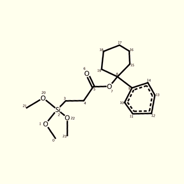 CO[Si](CCC(=O)OC1(c2ccccc2)CCCCC1)(OC)OC